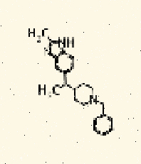 Cc1nc2cc(C(C)C3CCN(Cc4ccccc4)CC3)ccc2[nH]1